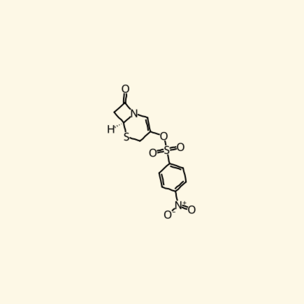 O=C1C[C@@H]2SCC(OS(=O)(=O)c3ccc([N+](=O)[O-])cc3)=CN12